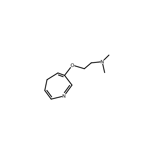 CN(C)CCOC1=CCC=CN=C1